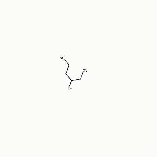 CC(C)C(CC#N)CCC#N